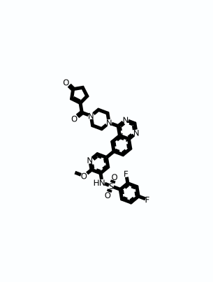 COc1ncc(-c2ccc3ncnc(N4CCN(C(=O)C5=CC(=O)CC5)CC4)c3c2)cc1NS(=O)(=O)c1ccc(F)cc1F